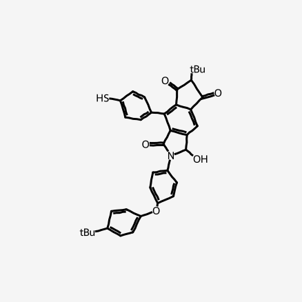 CC(C)(C)c1ccc(Oc2ccc(N3C(=O)c4c(cc5c(c4-c4ccc(S)cc4)C(=O)C(C(C)(C)C)C5=O)C3O)cc2)cc1